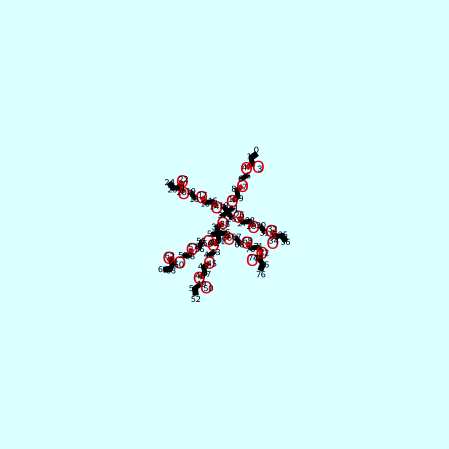 C=CC(=O)OCCOCCOCC(COCCOCCOC(=O)C=C)(COCCOCCOC(=O)C=C)COCC(COCCOCCOC(=O)C=C)(COCCOCCOC(=O)C=C)COCCOCCOC(=O)C=C